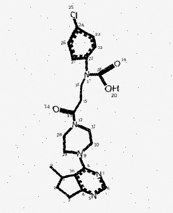 CC1CCc2ncnc(N3CCN(C(=O)CCN(C(=O)O)c4ccc(Cl)cc4)CC3)c21